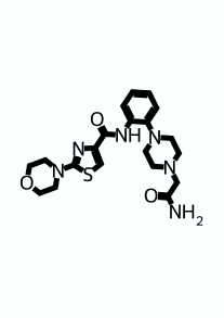 NC(=O)CN1CCN(c2ccccc2NC(=O)c2csc(N3CCOCC3)n2)CC1